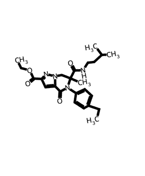 CCOC(=O)c1cc2n(n1)CC(C)(C(=O)NCCC(C)C)N(c1ccc(CC)cc1)C2=O